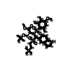 COC(=O)[C@@H](COC(C)(C)C)N(C(c1ccc2[nH]ccc2c1)S(=O)(=O)CC[Si](C)(C)C)S(=O)(=O)c1c(C)cc(OC)c(C)c1C